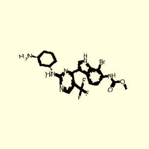 COC(=O)Nc1ccc2c(-c3nc(N[C@H]4CCC[C@H](N)C4)ncc3C(F)(F)F)c[nH]c2c1Br